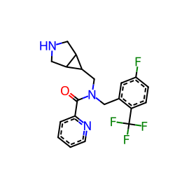 O=C(c1ccccn1)N(Cc1cc(F)ccc1C(F)(F)F)CC1C2CNCC21